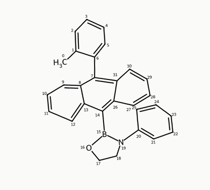 Cc1ccccc1-c1c2ccccc2c(B2OCCN2c2ccccc2)c2ccccc12